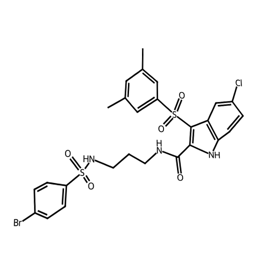 Cc1cc(C)cc(S(=O)(=O)c2c(C(=O)NCCCNS(=O)(=O)c3ccc(Br)cc3)[nH]c3ccc(Cl)cc23)c1